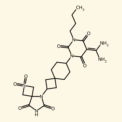 CCCCN1C(=O)C(=C(N)N)C(=O)N(C2CCC3(CC2)CC(N2C(=O)NC(=O)C24CS(=O)(=O)C4)C3)C1=O